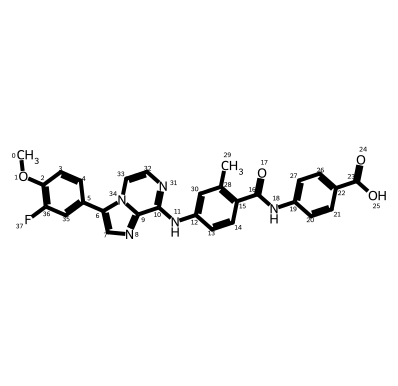 COc1ccc(-c2cnc3c(Nc4ccc(C(=O)Nc5ccc(C(=O)O)cc5)c(C)c4)nccn23)cc1F